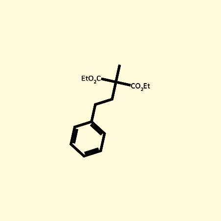 CCOC(=O)C(C)(CCc1ccccc1)C(=O)OCC